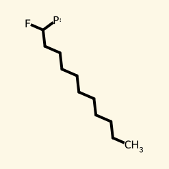 CCCCCCCCCCC(F)[P]